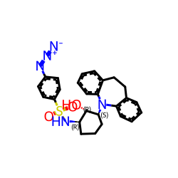 [N-]=[N+]=Nc1ccc(S(=O)(=O)N[C@@H]2CCC[C@H](N3c4ccccc4CCc4ccccc43)[C@H]2O)cc1